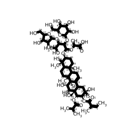 C/C=C(/C)C(=O)O[C@H]1[C@H](OC(=O)C(C)C)[C@@]2(CO)C(C[C@]1(O)S)C1=CCC3[C@@]4(C)CC[C@H](OC(OC(C)C(=O)O)C(OC5OC(CO)C(O)C(O)C5O)C(OC5OC(CO)C(O)C5O)C(C)O)[C@@](C)(S)C4CC[C@@]3(C)[C@]1(S)[C@@H](O)[C@H]2O